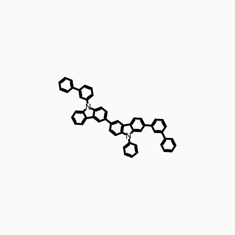 c1ccc(-c2cccc(-c3ccc4c5cc(-c6ccc7c(c6)c6ccccc6n7-c6cccc(-c7ccccc7)c6)ccc5n(-c5ccccc5)c4c3)c2)cc1